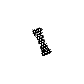 O=c1c2ccc3c4ccc5c6ccc7c8c(ccc(c9ccc(c%10ccc(c2c3%10)c2nc3cccc%10cc%11ccccc%11c(c%103)n12)c4c95)c68)c(=O)n1c7nc2cccc3cc4ccccc4c1c32